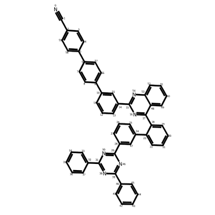 N#Cc1ccc(-c2ccc(-c3cccc(-c4nc(-c5ccccc5-c5cccc(-c6nc(-c7ccccc7)nc(-c7ccccc7)n6)c5)c5ccccc5n4)c3)cc2)cc1